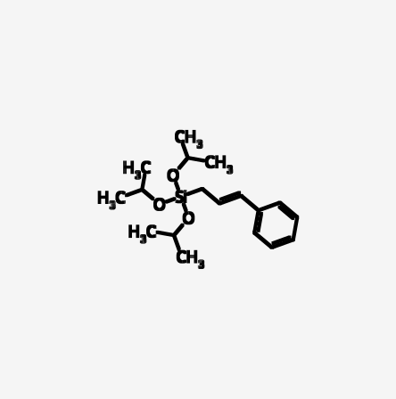 CC(C)O[Si](CC=Cc1ccccc1)(OC(C)C)OC(C)C